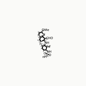 CCCS(=O)(=O)Nc1ccc(F)c(Nc2ccc3ncc(OC)nc3c2C=O)c1F